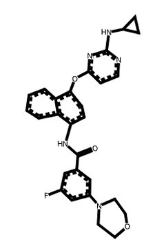 O=C(Nc1ccc(Oc2ccnc(NC3CC3)n2)c2ccccc12)c1cc(F)cc(N2CCOCC2)c1